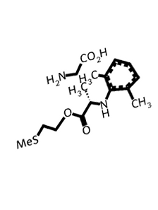 CSCCOC(=O)[C@H](C)Nc1c(C)cccc1C.NCC(=O)O